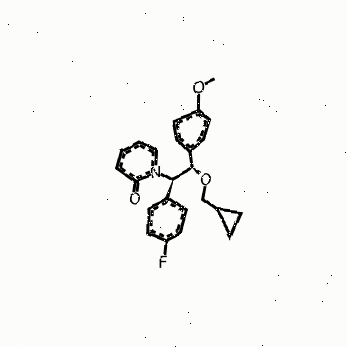 COc1ccc([C@@H](OCC2CC2)[C@@H](c2ccc(F)cc2)n2ccccc2=O)cc1